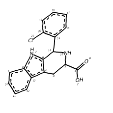 O=C(O)C1Cc2c([nH]c3ccccc23)C(c2ccccc2Cl)N1